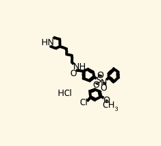 COc1cc(Cl)ccc1ON(c1ccccc1)S(=O)(=O)c1ccc(C(=O)NCCCCC2CCNCC2)cc1.Cl